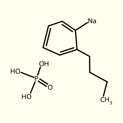 CCCCc1cccc[c]1[Na].O=P(O)(O)O